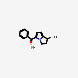 O=C(c1ccccc1)c1ccc2n1CCC2C(=O)O.[KH]